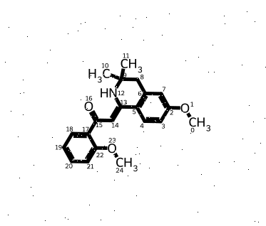 COc1ccc2c(c1)CC(C)(C)NC2=CC(=O)c1ccccc1OC